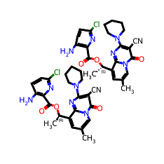 Cc1cc([C@@H](C)OC(=O)c2nc(Cl)ccc2N)c2nc(N3CCCCC3)c(C#N)c(=O)n2c1.Cc1cc([C@H](C)OC(=O)c2nc(Cl)ccc2N)c2nc(N3CCCCC3)c(C#N)c(=O)n2c1